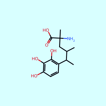 CC(CC(C)(N)C(=O)O)C(C)c1ccc(O)c(O)c1O